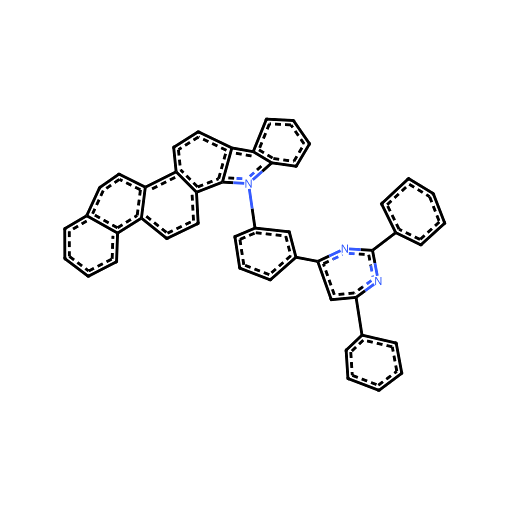 c1ccc(-c2cc(-c3cccc(-n4c5ccccc5c5ccc6c7ccc8ccccc8c7ccc6c54)c3)nc(-c3ccccc3)n2)cc1